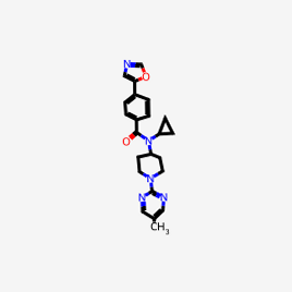 Cc1cnc(N2CCC(N(C(=O)c3ccc(-c4cnco4)cc3)C3CC3)CC2)nc1